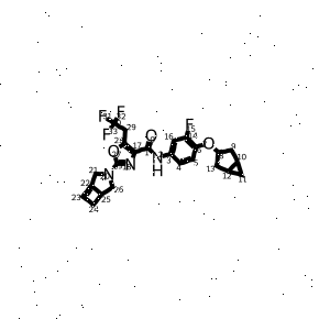 O=C(Nc1ccc(OC2CC3CC3C2)c(F)c1)c1nc(N2CC3=CCC3C2)oc1CC(F)(F)F